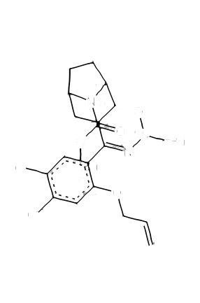 C=CCOc1cc(Cl)c(Cl)cc1/C(=N/[S+]([O-])C(C)(C)C)C1CC2CCC(C1)N2C(=O)OC(C)(C)C